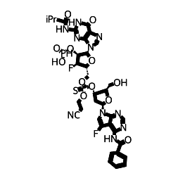 CC(C)C(=O)Nc1nc2c(ncn2[C@@H]2O[C@H](COP(=S)(OCCC#N)O[C@H]3C[C@H](n4cc(F)c5c(NC(=O)c6ccccc6)ncnc54)O[C@@H]3CO)[C@@H](F)[C@H]2O[PH](=O)O)c(=O)[nH]1